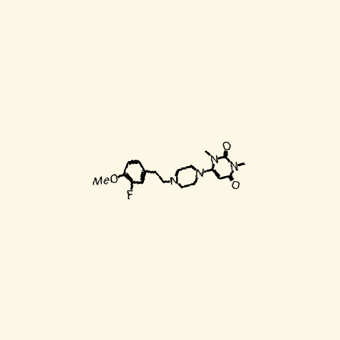 COc1ccc(CCN2CCN(c3cc(=O)n(C)c(=O)n3C)CC2)cc1F